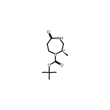 C[C@@H]1CNC(=O)CCN1C(=O)OC(C)(C)C